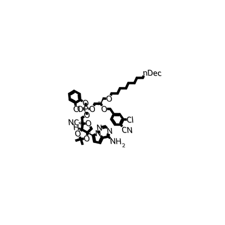 CCCCCCCCCCCCCCCCCCOC[C@H](COP(=O)(OC[C@@]1(C#N)OC[C@]2(c3ccc4c(N)ncnn34)OC(C)(C)O[C@H]12)Oc1ccccc1Cl)OCc1ccc(C#N)c(Cl)c1